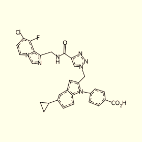 O=C(O)c1ccc(-n2c(Cn3cc(C(=O)NCc4ncn5ccc(Cl)c(F)c45)nn3)cc3cc(C4CC4)ccc32)cc1